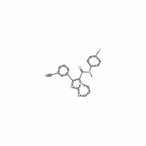 CN(C(=O)c1c(-c2cccc(C#N)c2)nc2ncccn12)c1ccc(F)cc1